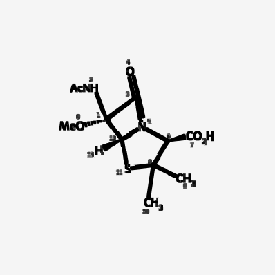 CO[C@]1(NC(C)=O)C(=O)N2[C@@H](C(=O)O)C(C)(C)S[C@@H]21